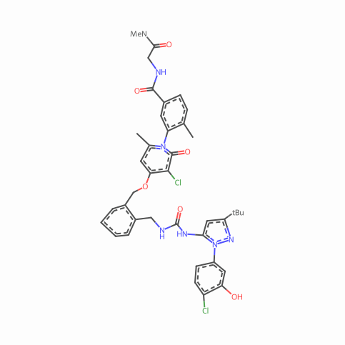 CNC(=O)CNC(=O)c1ccc(C)c(-n2c(C)cc(OCc3ccccc3CNC(=O)Nc3cc(C(C)(C)C)nn3-c3ccc(Cl)c(O)c3)c(Cl)c2=O)c1